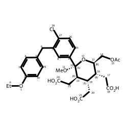 CCOc1ccc(Cc2cc([C@@]3(OC)O[C@@H](COC(C)=O)[C@H](CC(=O)O)[C@H](CC(=O)O)[C@H]3CC(=O)O)ccc2Cl)cc1